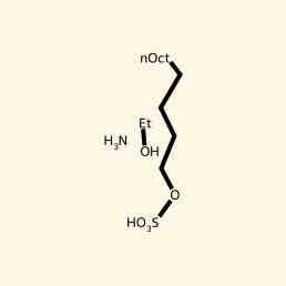 CCCCCCCCCCCCOS(=O)(=O)O.CCO.N